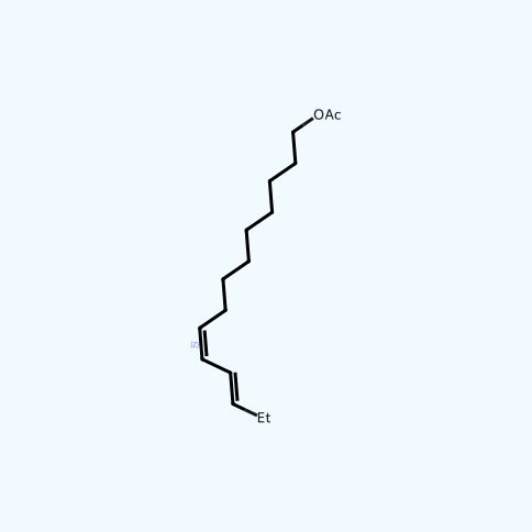 CCC=C/C=C\CCCCCCCCOC(C)=O